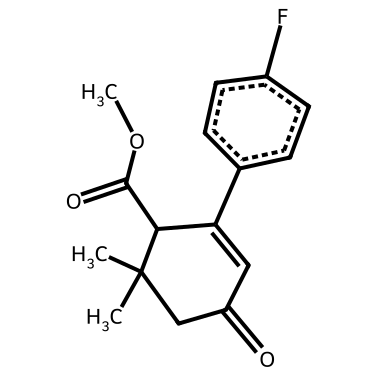 COC(=O)C1C(c2ccc(F)cc2)=CC(=O)CC1(C)C